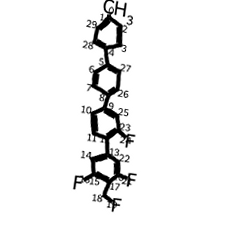 Cc1ccc(-c2ccc(-c3ccc(-c4cc(F)c(CF)c(F)c4)c(F)c3)cc2)cc1